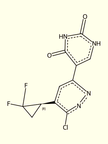 O=c1[nH]cc(-c2cc([C@H]3CC3(F)F)c(Cl)nn2)c(=O)[nH]1